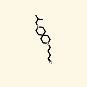 CC(C)CN1CCC2(CCN(CCCC=O)CC2)CC1